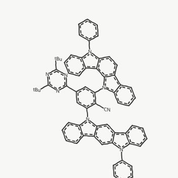 CC(C)(C)c1nc(-c2cc(-n3c4ccccc4c4cc5c(cc43)c3ccccc3n5-c3ccccc3)c(C#N)c(-n3c4ccccc4c4ccc5c(c6ccccc6n5-c5ccccc5)c43)c2)nc(C(C)(C)C)n1